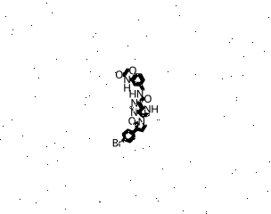 O=C1COc2ccc(CNC(=O)c3ncnc4c(N5CCC(C6=CCC(Br)C=C6)C5=O)c[nH]c34)cc2N1